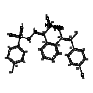 COC(=O)C(=NOS(=O)(=O)c1ccc(C)cc1)c1ccccc1C(ON)=C(C)c1ccc(Cl)cc1